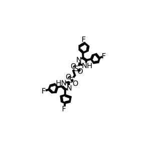 O=S(=O)(CCS(=O)(=O)c1nc(-c2ccc(F)cc2)c(-c2ccc(F)cc2)[nH]1)c1nc(-c2ccc(F)cc2)c(-c2ccc(F)cc2)[nH]1